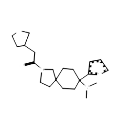 CN(C)C1(c2cccs2)CCC2(CCN(C(=O)CC3CCOC3)C2)CC1